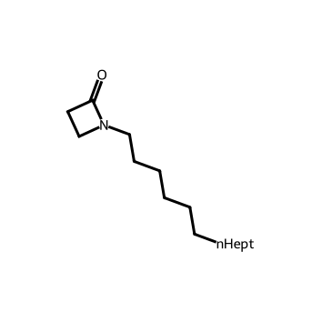 CCCCCCCCCCCCCN1CCC1=O